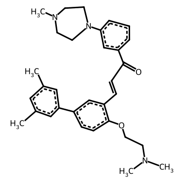 Cc1cc(C)cc(-c2ccc(OCCN(C)C)c(C=CC(=O)c3cccc(N4CCN(C)CC4)c3)c2)c1